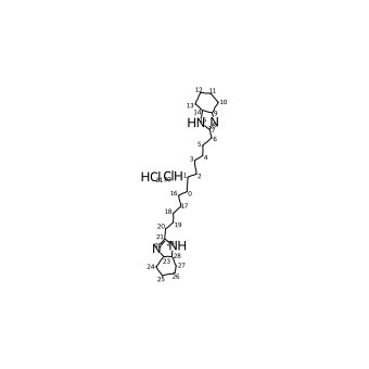 C(CCCCCCC1=NC2CCCCC2N1)CCCCCC1=NC2CCCCC2N1.Cl.Cl